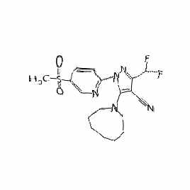 CS(=O)(=O)c1ccc(-n2nc(C(F)F)c(C#N)c2N2CCCCCCC2)nc1